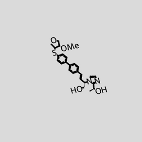 CO[C@@H]1COCC1Sc1ccc(-c2ccc(/C=C/[C@@H](CO)n3ccnc3[C@H](C)O)cc2)cc1